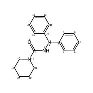 O=C(NN(c1ccccc1)c1ccccc1)N1CCCCC1